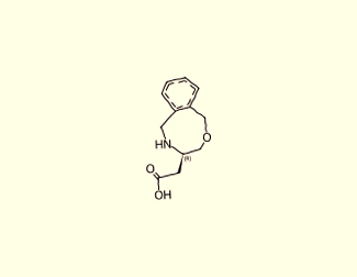 O=C(O)C[C@@H]1COCc2ccccc2CN1